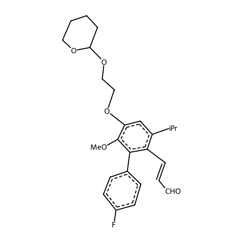 COc1c(OCCOC2CCCCO2)cc(C(C)C)c(/C=C/C=O)c1-c1ccc(F)cc1